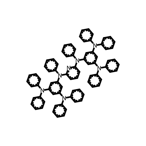 c1ccc(N(c2ccccc2)c2cc(N(c3ccccc3)c3ccccc3)cc(N(c3ccccc3)c3cccc(N(c4ccccc4)c4cc(N(c5ccccc5)c5ccccc5)cc(N(c5ccccc5)c5ccccc5)c4)n3)c2)cc1